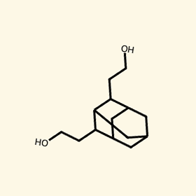 OCCC1C2CC3CC(C2)C(CCO)C1C3